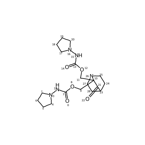 O=C(NN1CCCC1)OCC1(COC(=O)NN2CCCC2)C(=O)C2CCN1CC2